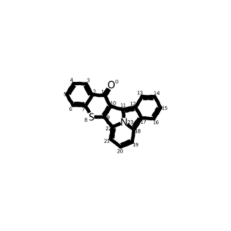 O=c1c2ccccc2sc2c1c1c3ccccc3c3cccc2n31